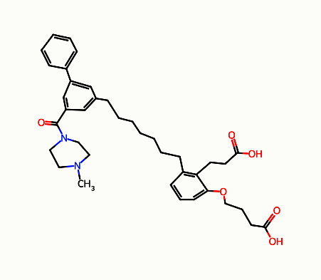 CN1CCN(C(=O)c2cc(CCCCCCCc3cccc(OCCCC(=O)O)c3CCC(=O)O)cc(-c3ccccc3)c2)CC1